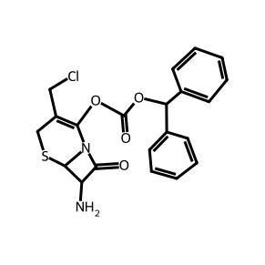 NC1C(=O)N2C(OC(=O)OC(c3ccccc3)c3ccccc3)=C(CCl)CSC12